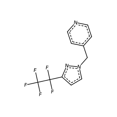 FC(F)(F)C(F)(F)c1ccn(Cc2ccncc2)n1